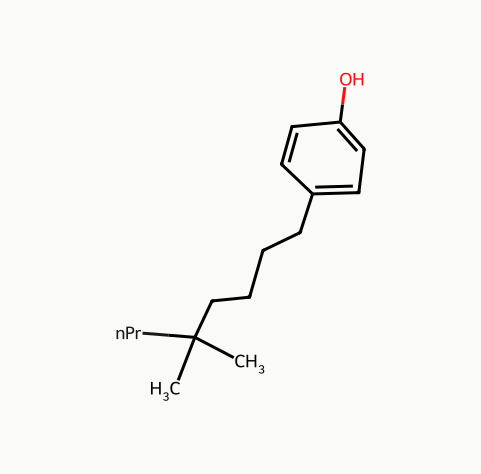 CCCC(C)(C)CCCCc1ccc(O)cc1